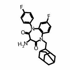 NC1C(=O)N(CC2C3CC4CC(C3)CC2C4)c2ccc(F)cc2N(c2ccc(F)cc2)C1=O